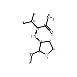 COC1OCC[C@@H]1N[C@H](C(N)=O)C(C)C